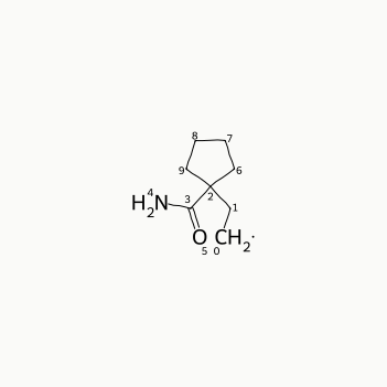 [CH2]CC1(C(N)=O)CCCC1